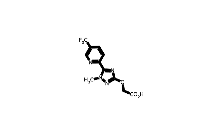 Cn1nc(OCC(=O)O)nc1-c1ccc(C(F)(F)F)cn1